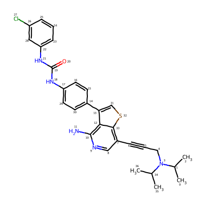 CC(C)N(CC#Cc1cnc(N)c2c(-c3ccc(NC(=O)Nc4cccc(Cl)c4)cc3)csc12)C(C)C